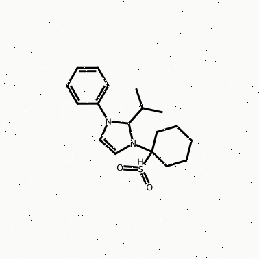 CC(C)C1N(c2ccccc2)C=CN1C1([SH](=O)=O)CCCCC1